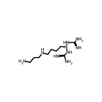 N=C(N)NN(CCCCNCCCN)NC(=N)N